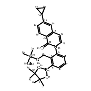 CC1(C)OB(c2cccc(-n3ccc4cc(C5CC5)ccc4c3=O)c2CO[Si](C)(C)C(C)(C)C)OC1(C)C